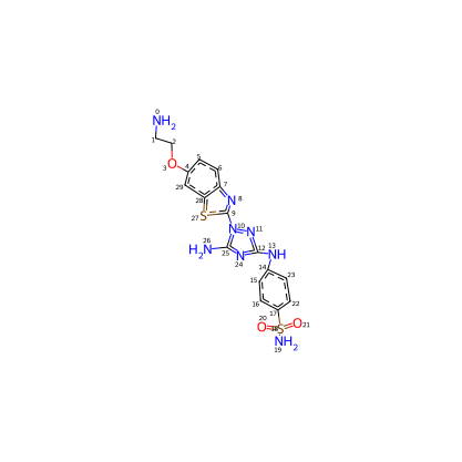 NCCOc1ccc2nc(-n3nc(Nc4ccc(S(N)(=O)=O)cc4)nc3N)sc2c1